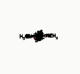 CC(c1ccc(N2CCN(C)CC2)cc1)c1ccc2c(c1OC(=O)/C=C\C(=O)Oc1c(C(C)c3ccc(N4CCN(C)CC4)cc3)ccc3c1Nc1ccccc1S3)Nc1ccccc1S2